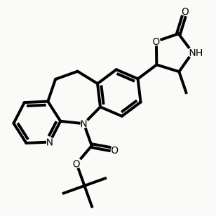 CC1NC(=O)OC1c1ccc2c(c1)CCc1cccnc1N2C(=O)OC(C)(C)C